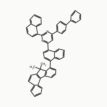 CC1(C)c2ccc3ccccc3c2-c2cccc(-c3ccc(-c4cc(-c5ccc(-c6ccccc6)cc5)nc(-c5cccc6ccccc56)n4)c4ccccc34)c21